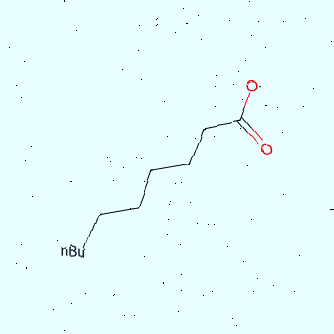 CCCCCCCCCC([O])=O